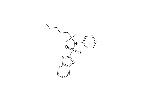 CCCCCC(C)(C)N(c1ccccc1)S(=O)(=O)c1nc2ccccc2s1